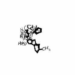 Cc1ccc2c(c1)Cc1c-2ccc(C)[c]1[Zr](=[SiH2])([C]1=CC=CC1)([C](C)(C)C)[C](C)(C)C.Cl.Cl